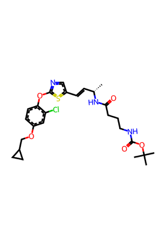 C[C@@H](/C=C/c1cnc(Oc2ccc(OCC3CC3)cc2Cl)s1)NC(=O)CCCNC(=O)OC(C)(C)C